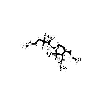 CC(C)(CCO[N+](=O)[O-])C(=O)ON1CCC(CO[N+](=O)[O-])C(CO[N+](=O)[O-])C1(C)C